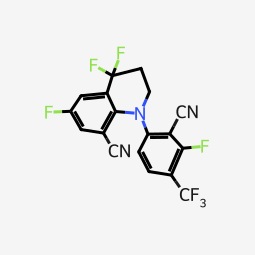 N#Cc1cc(F)cc2c1N(c1ccc(C(F)(F)F)c(F)c1C#N)CCC2(F)F